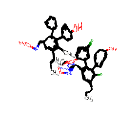 CCCc1cc(C(N)=NO)c(-c2cc(F)ccc2OC)c(-c2ccc(O)cc2)c1F.CCCc1cc(C=NO)c(-c2ccccc2)c(-c2ccc(O)cc2)c1C